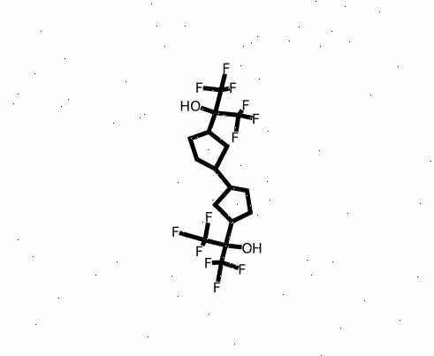 OC(C1CCC(C2CCC(C(O)(C(F)(F)F)C(F)(F)F)C2)C1)(C(F)(F)F)C(F)(F)F